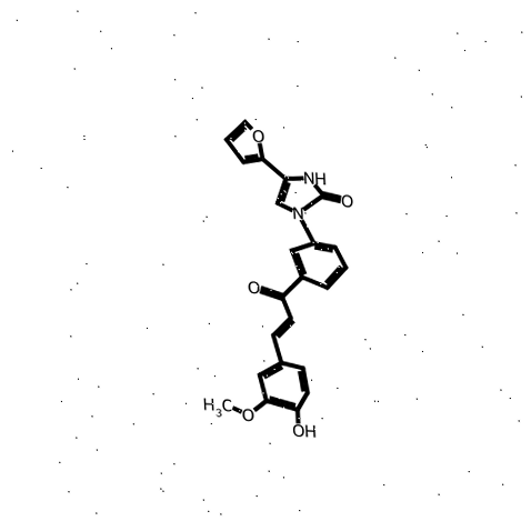 COc1cc(/C=C/C(=O)c2cccc(-n3cc(-c4ccco4)[nH]c3=O)c2)ccc1O